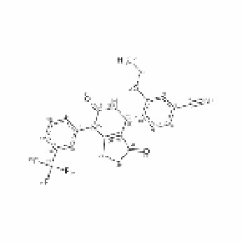 CCSc1cc(C#N)ccc1[C@H]1NC(=O)N(c2cccc(C(F)(F)F)c2)C2=C1C(=O)CC2